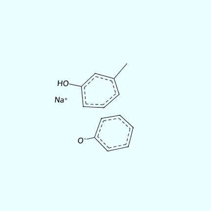 Cc1cccc(O)c1.[Na+].[O-]c1ccccc1